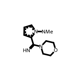 CNn1cccc1C(=N)N1CCOCC1